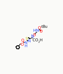 CC(C)(C)OC(=O)NCCO/N=C(\C(=O)O)c1csc(NC(=O)OCc2ccccc2)n1